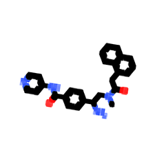 CN(CC(N)c1ccc(C(=O)Nc2ccncc2)cc1)C(=O)Cc1cccc2ccccc12